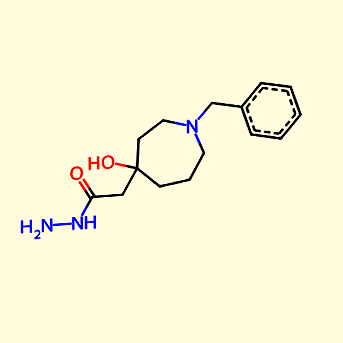 NNC(=O)CC1(O)CCCN(Cc2ccccc2)CC1